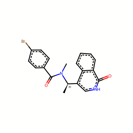 C[C@H](c1c[nH]c(=O)c2ccccc12)N(C)C(=O)c1ccc(Br)cc1